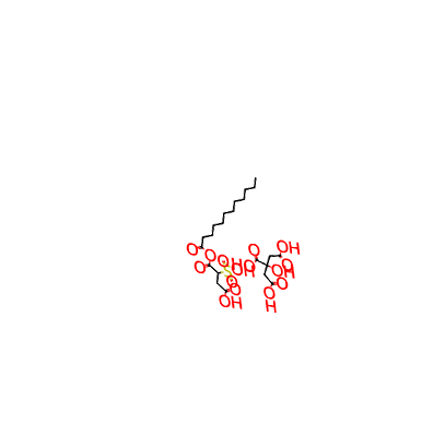 CCCCCCCCCCCC(=O)OC(=O)C(CC(=O)O)S(=O)(=O)O.O=C(O)CC(O)(CC(=O)O)C(=O)O